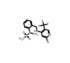 CN(c1ccccc1CNc1cc(Cl)ncc1C(F)(F)F)S(C)(=O)=O